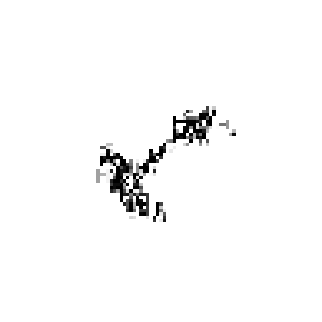 CC(C)N(C)[C@@H]1CC[C@H](N2CC[C@H](Nc3ncnc4ccc(C(F)(F)F)cc34)C2=O)[C@H](NC(=O)[C@H]2C[C@@H](NC(=O)CCOCCOCCNC(=O)CNC(=O)[C@H]3CC(=O)N(C)[C@@H]3c3cccnc3)C2)C1